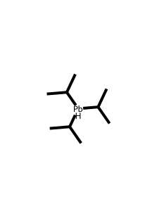 C[CH](C)[PbH]([CH](C)C)[CH](C)C